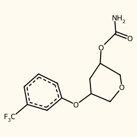 NC(=O)OC1COCC(Oc2cccc(C(F)(F)F)c2)C1